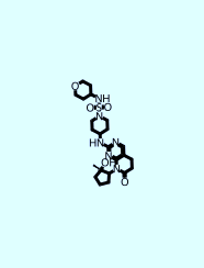 C[C@]1(O)CCCC1N1C(=O)CCc2cnc(NC3CCN(S(=O)(=O)NC4CCOCC4)CC3)nc21